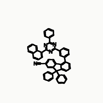 N#Cc1ccc2c(c1)C(c1ccccc1)(c1ccccc1)c1cccc(-c3cccc(-c4nc(-c5ccccc5)nc(-c5cccc6ccccc56)n4)c3)c1-2